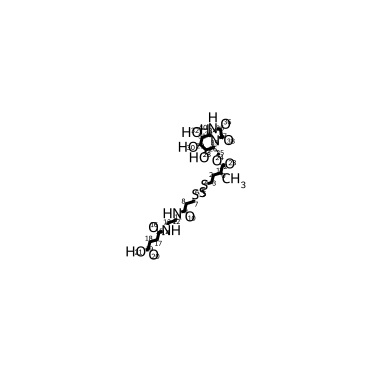 CC(CCSSSCCC(=O)NCCNC(=O)CCC(=O)O)C(=O)OC[C@@H]1[C@@H](O)[C@H](O)[C@H](O)[C@H]2NC(=O)C(=O)N12